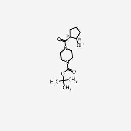 CC(C)(C)OC(=O)N1CCN(C(=O)[C@H]2CCC[C@H]2O)CC1